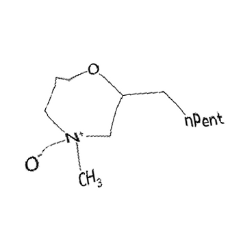 CCCCCCC1C[N+](C)([O-])CCO1